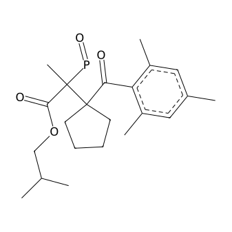 Cc1cc(C)c(C(=O)C2(C(C)(P=O)C(=O)OCC(C)C)CCCC2)c(C)c1